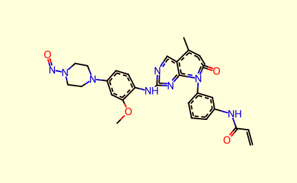 C=CC(=O)Nc1cccc(-n2c(=O)cc(C)c3cnc(Nc4ccc(N5CCN(N=O)CC5)cc4OC)nc32)c1